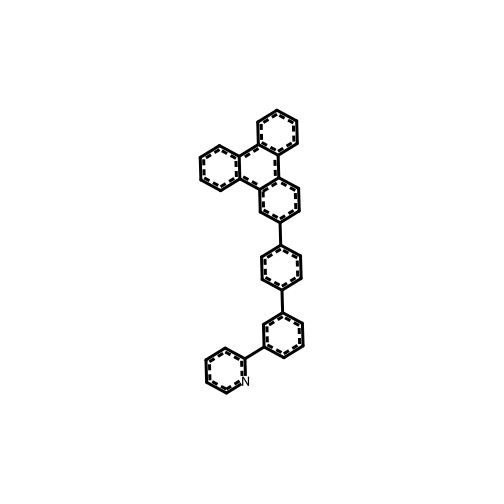 c1ccc(-c2cccc(-c3ccc(-c4ccc5c6ccccc6c6ccccc6c5c4)cc3)c2)nc1